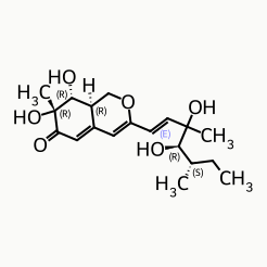 CC[C@H](C)[C@@H](O)C(C)(O)/C=C/C1=CC2=CC(=O)[C@](C)(O)[C@H](O)[C@H]2CO1